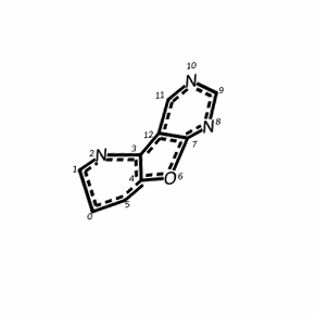 c1cnc2c(c1)oc1ncncc12